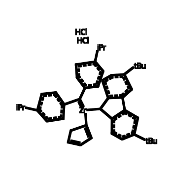 CC(C)c1ccc([C](c2ccc(C(C)C)cc2)=[Zr]([C]2=CC=CC2)[CH]2c3ccc(C(C)(C)C)cc3-c3cc(C(C)(C)C)ccc32)cc1.Cl.Cl